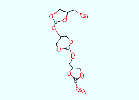 OCC1COB(OC2COB(OCC3COB(O)O3)OC2)O1